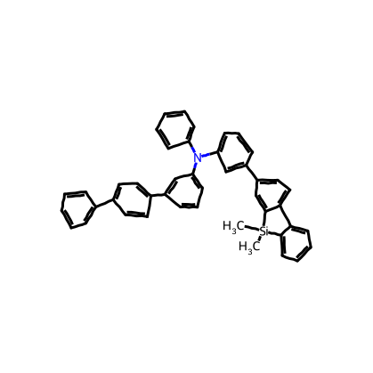 C[Si]1(C)c2ccccc2-c2ccc(-c3cccc(N(c4ccccc4)c4cccc(-c5ccc(-c6ccccc6)cc5)c4)c3)cc21